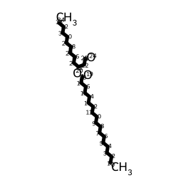 CCCCCCCCCCCCCCCCCCC(=O)OC(C[C]=O)CCCCCCCCCC